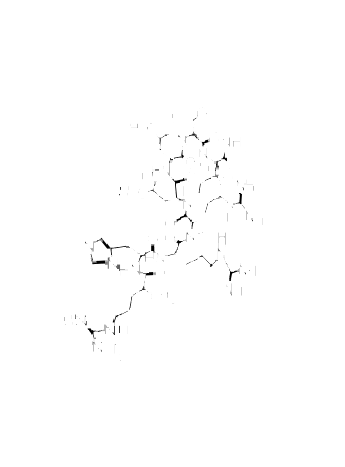 CC[C@H](C)[C@H](NC(=O)[C@H](CO)NC(=O)[C@H](CC(C)C)NC(=O)[C@H](CC(C)C)NC(=O)[C@H](CCCNC(=N)N)NC(=O)[C@H](CCCNC(=N)N)NC(=O)[C@H](Cc1c[nH]cn1)NC(=O)[C@@H](C)CCCNC(=N)N)C(N)=O